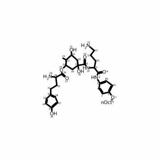 CCCCCCCCOc1ccc(NC(=O)C(CCCN)NC(=O)C2(O)CC(O)C(C)C(OC(=O)C(N)CCc3ccc(O)cc3)C2)cc1